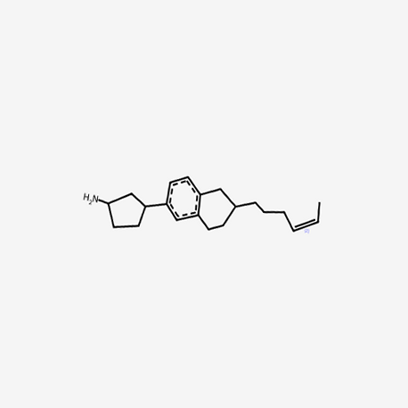 C/C=C\CCCC1CCc2cc(C3CCC(N)C3)ccc2C1